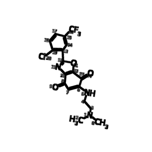 CN(C)CCNC1=CC(=O)c2nc(-c3cc(C(F)(F)F)ccc3Cl)oc2C1=O